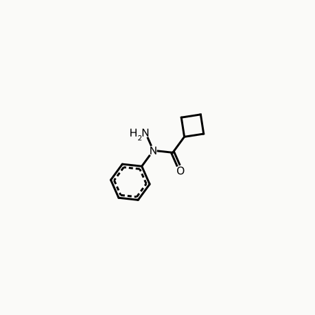 NN(C(=O)C1CCC1)c1ccccc1